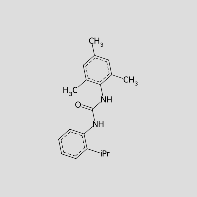 Cc1cc(C)c(NC(=O)Nc2ccccc2C(C)C)c(C)c1